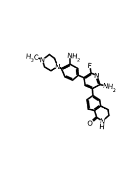 CN1CCN(c2ccc(-c3cc(-c4ccc5c(c4)CCNC5=O)c(N)nc3F)cc2N)CC1